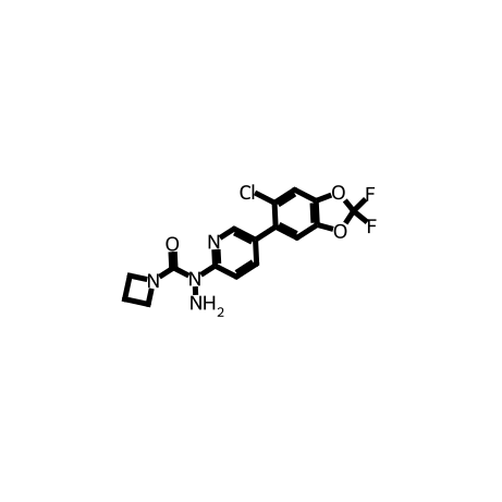 NN(C(=O)N1CCC1)c1ccc(-c2cc3c(cc2Cl)OC(F)(F)O3)cn1